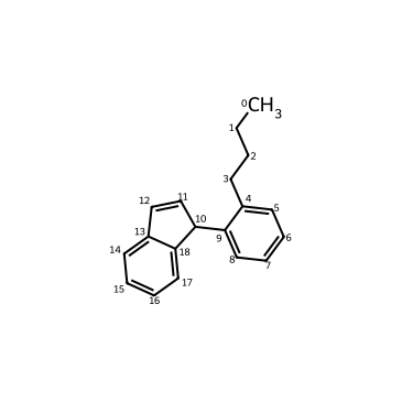 CCCCc1ccccc1C1C=Cc2ccccc21